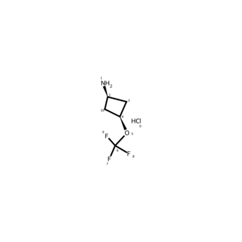 Cl.N[C@H]1C[C@@H](OC(F)(F)F)C1